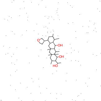 CC(O)C1C(C)CC2(C)CC3(C)CC4C(C5CCOC5)CC(C)C(C)C4C(O)C3C(C)C2(C)C1O